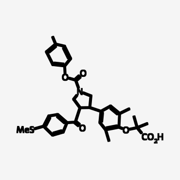 CSc1ccc(C(=O)C2CN(C(=O)Oc3ccc(C)cc3)CC2c2cc(C)c(OC(C)(C)C(=O)O)c(C)c2)cc1